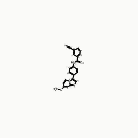 COc1ccn2c(-c3ccc(NC(=O)c4cccc(C#N)c4)cc3)cnc2c1